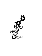 Cc1cc(-c2cccnc2)cc2c(=O)n(C[C@@H](O)C[C@H]3NCCC[C@@H]3O)cnc12